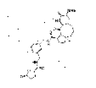 C=C(N[C@H]1CCCC[C@H]2CC[C@@H](C(=O)NCc3cccc(CNC(=O)[C@H]4CCC(=O)O4)c3)N2C1=O)[C@H](C)NC